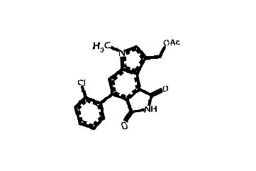 CC(=O)OCc1cn(C)c2cc(-c3ccccc3Cl)c3c(c12)C(=O)NC3=O